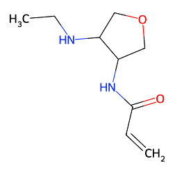 C=CC(=O)NC1COCC1NCC